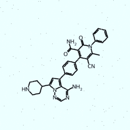 Cc1c(C#N)c(-c2ccc(-c3cc(C4CCNCC4)n4ncnc(N)c34)cc2)c(C(N)=O)c(=O)n1-c1ccccc1